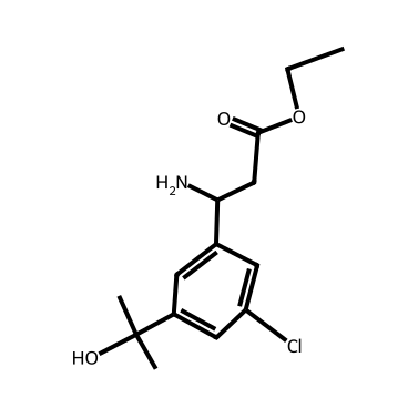 CCOC(=O)CC(N)c1cc(Cl)cc(C(C)(C)O)c1